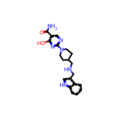 NC(=O)c1cnc(N2CCC(CNCc3c[nH]c4ccccc34)CC2)nc1O